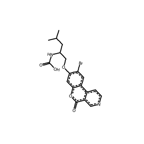 CC(C)CC(COc1cc2oc(=O)c3cnccc3c2cc1Br)NC(=O)O